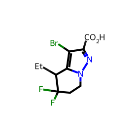 CCC1c2c(Br)c(C(=O)O)nn2CCC1(F)F